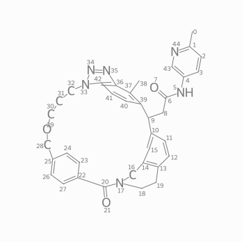 Cc1ccc(NC(=O)CC2c3ccc4c(c3)CN(CC4)C(=O)c3ccc(cc3)COCCCn3nnc4c(C)c2ccc43)cn1